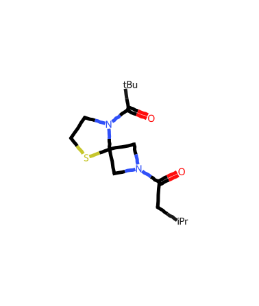 CC(C)CC(=O)N1CC2(C1)SCCN2C(=O)C(C)(C)C